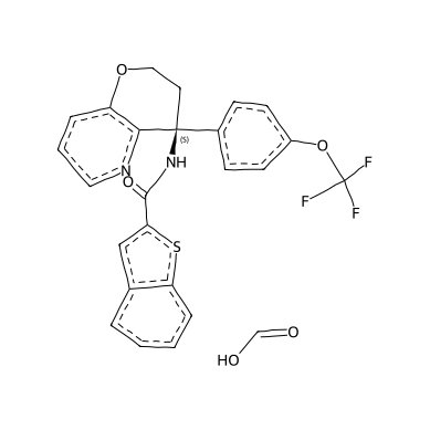 O=C(N[C@]1(c2ccc(OC(F)(F)F)cc2)CCOc2cccnc21)c1cc2ccccc2s1.O=CO